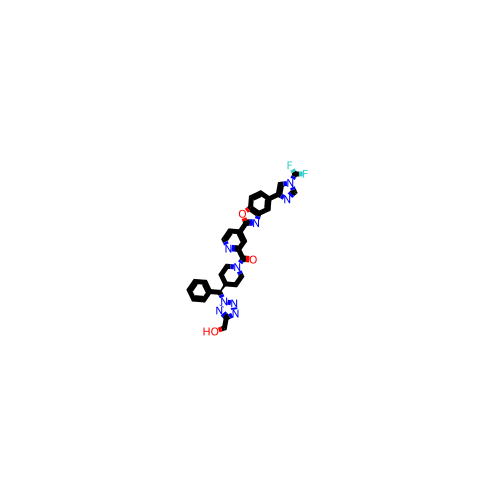 O=C(c1cc(-c2nc3cc(-c4cn(C(F)F)cn4)ccc3o2)ccn1)N1CCC([C@H](c2ccccc2)n2nnc(CO)n2)CC1